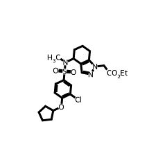 CCOC(=O)Cn1ncc2c1CCCC2N(C)S(=O)(=O)c1ccc(OC2CCCC2)c(Cl)c1